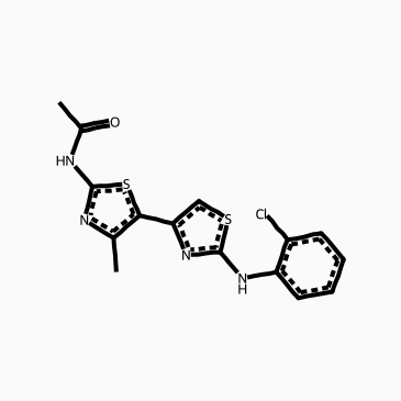 CC(=O)Nc1nc(C)c(-c2csc(Nc3ccccc3Cl)n2)s1